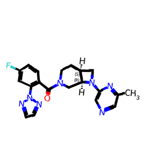 Cc1cncc(N2C[C@@H]3CCN(C(=O)c4ccc(F)cc4-n4nccn4)C[C@@H]32)n1